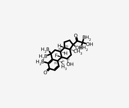 BC1=C2C(B)(B)C[C@H]3[C@@H]4CC[C@](O)(C(=O)C(B)(B)O)[C@@]4(C)C[C@H](O)[C@]3(F)[C@@]2(C)C=CC1=O